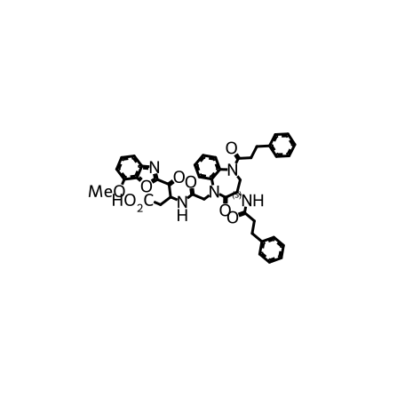 COc1cccc2nc(C(=O)C(CC(=O)O)NC(=O)CN3C(=O)[C@@H](NC(=O)CCc4ccccc4)CN(C(=O)CCc4ccccc4)c4ccccc43)oc12